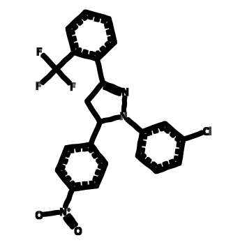 O=[N+]([O-])c1ccc(C2CC(c3ccccc3C(F)(F)F)=NN2c2cccc(Cl)c2)cc1